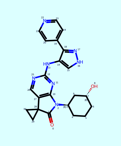 O=C1N([C@@H]2CCC[C@@H](O)C2)c2nc(Nc3c[nH]nc3-c3ccncc3)ncc2C12CC2